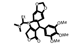 CCC(N(C)C)N1C2=C(C(=O)OC2)C(c2cc(OC)c(OC)c(OC)c2)c2cc3c(cc21)OCO3